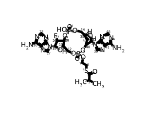 CC(C)C(=O)SCCOP1(=O)OC[C@H]2O[C@@H](n3cnc4c(N)ncnc43)C(F)C2OP(=O)(O)OC[C@H]2O[C@@H](n3cnc4c(N)ncnc43)C(O1)C2O